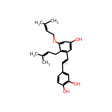 CC(C)=CCOc1cc(O)cc(/C=C/c2ccc(O)c(O)c2)c1CC=C(C)C